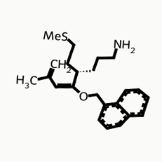 C=C(C)/C=C(/OCc1cccc2ccccc12)[C@@H](CCCN)CCSC